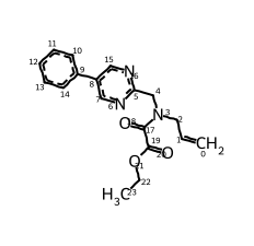 C=CCN(Cc1ncc(-c2ccccc2)cn1)C(=O)C(=O)OCC